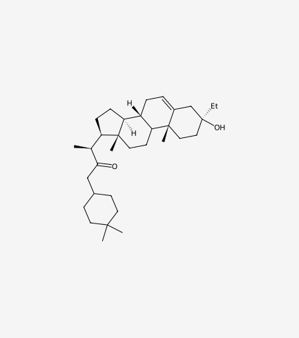 CC[C@]1(O)CC[C@@]2(C)C(=CC[C@@H]3C2CC[C@]2(C)[C@@H]([C@H](C)C(=O)CC4CCC(C)(C)CC4)CC[C@@H]32)C1